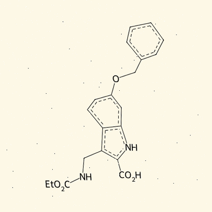 CCOC(=O)NCc1c(C(=O)O)[nH]c2cc(OCc3ccccc3)ccc12